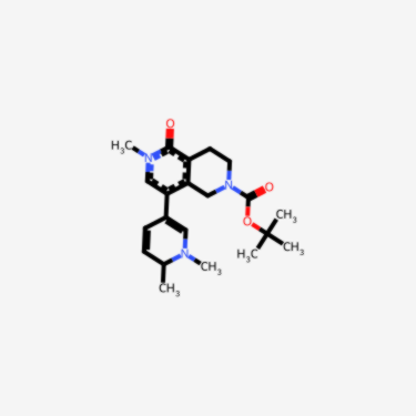 CC1C=CC(c2cn(C)c(=O)c3c2CN(C(=O)OC(C)(C)C)CC3)=CN1C